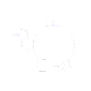 O=C1CCc2c(ccc3[nH]ccc23)CC2=CC=CS(=C2)c2nc(n[nH]2)CCC=CCCN1